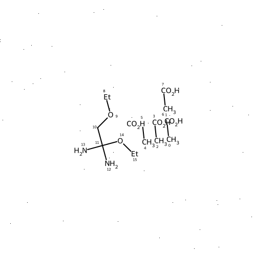 CC(=O)O.CC(=O)O.CC(=O)O.CC(=O)O.CCOCC(N)(N)OCC